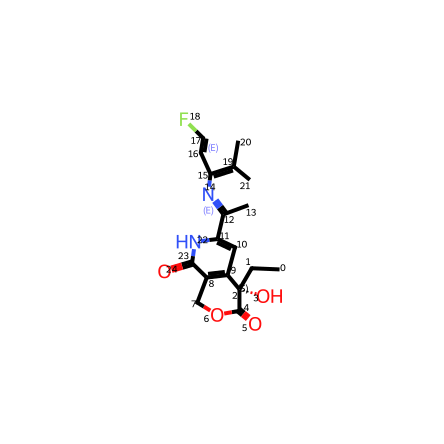 CC[C@@]1(O)C(=O)OCc2c1cc(/C(C)=N/C(/C=C/F)=C(C)C)[nH]c2=O